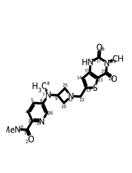 CNC(=O)c1ccc(N(C)C2CN(Cc3cc4[nH]c(=O)n(C)c(=O)c4s3)C2)cn1